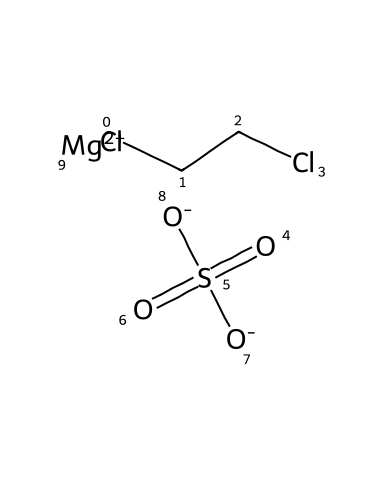 ClCCCl.O=S(=O)([O-])[O-].[Mg+2]